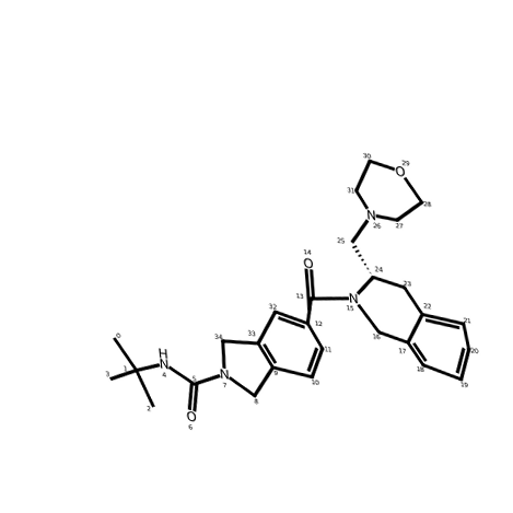 CC(C)(C)NC(=O)N1Cc2ccc(C(=O)N3Cc4ccccc4C[C@H]3CN3CCOCC3)cc2C1